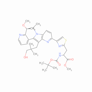 CCn1c(-c2cccnc2[C@H](C)OC)c(CC(C)(C)CO)c2nc(-c3csc(CC(NC(=O)OC(C)(C)C)C(=O)OC)n3)ccc21